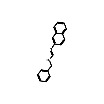 C(=N\c1ccc2ccccc2c1)/NCc1ccccc1